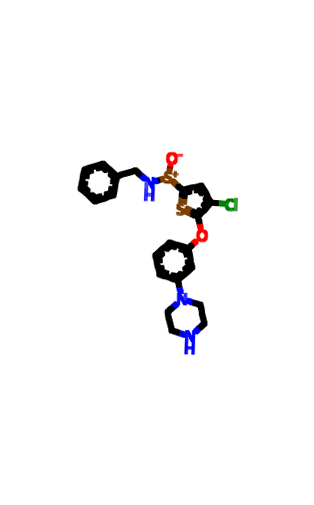 [O-][S+](NCc1ccccc1)c1cc(Cl)c(Oc2cccc(N3CCNCC3)c2)s1